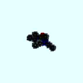 C1=CC(c2ccc(-c3nc(-c4ccc(-c5ccccc5)cc4)nc(-c4cccc5oc6cc(-n7c8ccccc8c8c(-c9ccccc9)cccc87)ccc6c45)n3)cc2)=CCC1